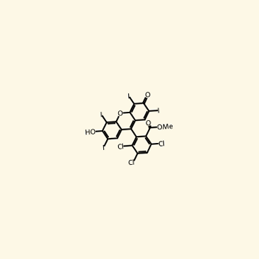 COC(=O)c1c(Cl)cc(Cl)c(Cl)c1-c1c2cc(I)c(=O)c(I)c-2oc2c(I)c(O)c(I)cc12